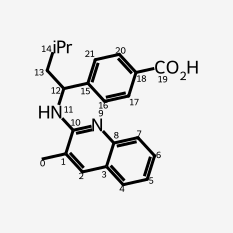 Cc1cc2ccccc2nc1NC(CC(C)C)c1ccc(C(=O)O)cc1